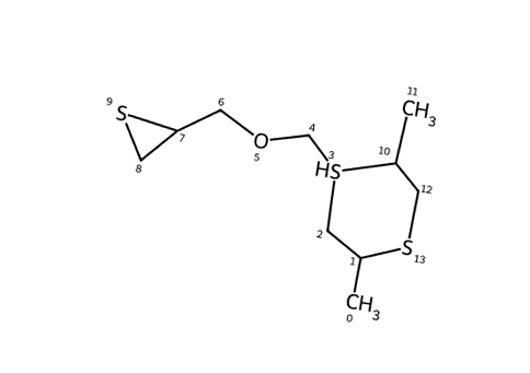 CC1C[SH](COCC2CS2)C(C)CS1